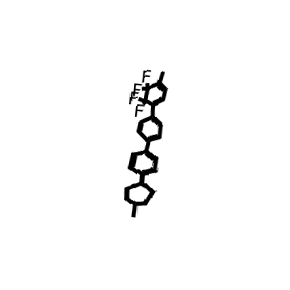 CC1=CC=C(c2ccc(-c3ccc(C4CCC(C)CC4)cc3)cc2)C(F)(F)C1(F)F